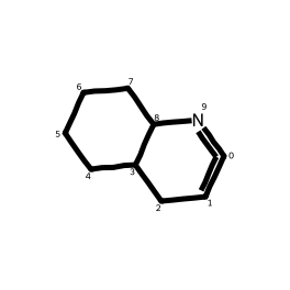 C1=CCC2CCCCC2N=1